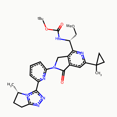 COC[C@@H](NC(=O)OC(C)(C)C)c1nc(C2(C)CC2)cc2c1CN(c1cccc(-c3nnc4n3[C@@H](C)CC4)n1)C2=O